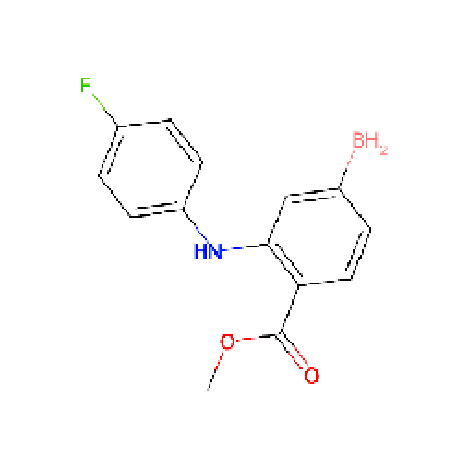 Bc1ccc(C(=O)OC)c(Nc2ccc(F)cc2)c1